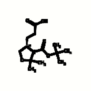 CC(C)(C)OC(=O)N1[C@@H](CCC(=O)O)COC1(C)C